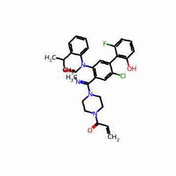 C=CC(=O)N1CCN(/C(=N/C)c2cc(Cl)c(-c3c(O)cccc3F)cc2N(C=O)c2ccccc2C(C)C)CC1